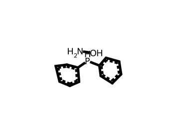 NO.c1ccc(Pc2ccccc2)cc1